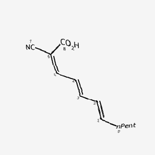 CCCCCC=CC=CC=C(C#N)C(=O)O